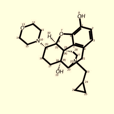 Oc1ccc2c3c1O[C@@H]1[C@@H](N4CCOCC4)CC[C@]4(O)C(C2)N(CC2CC2)CC[C@@]314